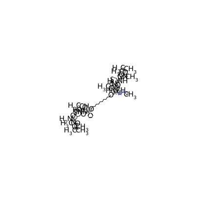 C=C(/C=C\C=C/C)[C@@H](COCCCCCCCCCCOC[C@@H](NC(=O)[C@H]1N2C(=O)CC(C[C@@H](C(N)=O)N(C)C(=O)OC(C)(C)C)CS[C@H]2CC1(C)C)c1ccccc1)NC(=O)[C@H]1N2C(=O)[C@@H](NC(=O)CN(C)C(=O)OC(C)(C)C)CCS[C@H]2CC1(C)C